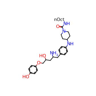 CCCCCCCCNC(=O)N1CCC(Nc2ccc(CC(N)CC(O)COc3ccc(O)cc3)cc2)CC1